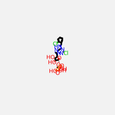 O=P(O)(O)CP(=O)(O)OC[C@H]1OC(c2cnc3c(NCc4ccccc4Cl)nc(Cl)nn23)[C@H](O)[C@@H]1O